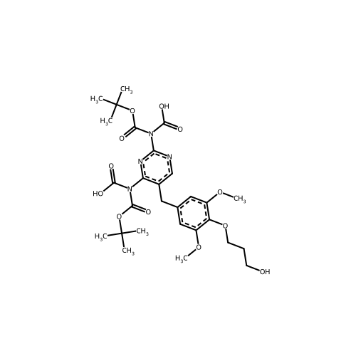 COc1cc(Cc2cnc(N(C(=O)O)C(=O)OC(C)(C)C)nc2N(C(=O)O)C(=O)OC(C)(C)C)cc(OC)c1OCCCO